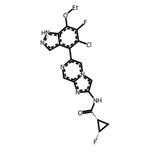 CCOc1c(F)c(Cl)c(-c2cn3cc(NC(=O)[C@@H]4C[C@@H]4F)nc3cn2)c2cn[nH]c12